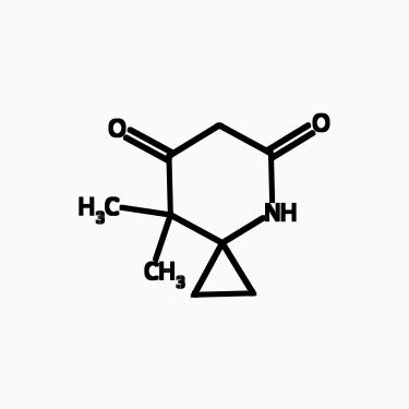 CC1(C)C(=O)CC(=O)NC12CC2